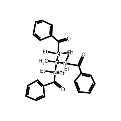 CC[N+](CC)(C(=O)c1ccccc1)[Si](C)([N+](CC)(CC)C(=O)c1ccccc1)[N+](CC)(CC)C(=O)c1ccccc1